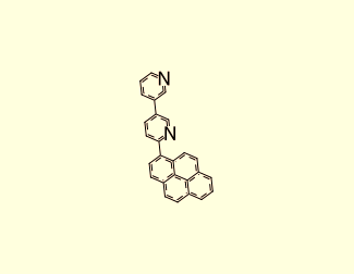 c1cncc(-c2ccc(-c3ccc4ccc5cccc6ccc3c4c56)nc2)c1